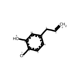 C=CCc1ccc(Cl)c(O)c1